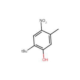 Cc1cc(O)c(C(C)(C)C)cc1[N+](=O)[O-]